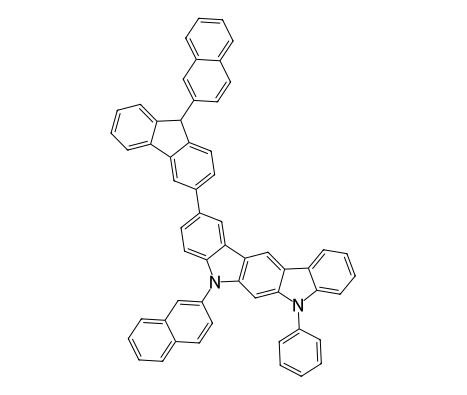 c1ccc(-n2c3ccccc3c3cc4c5cc(-c6ccc7c(c6)-c6ccccc6C7c6ccc7ccccc7c6)ccc5n(-c5ccc6ccccc6c5)c4cc32)cc1